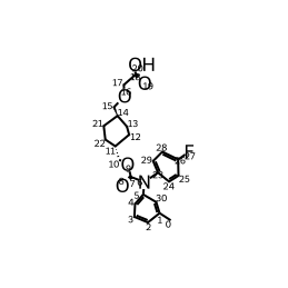 Cc1cccc(N(C(=O)OC[C@H]2CC[C@H](COCC(=O)O)CC2)c2ccc(F)cc2)c1